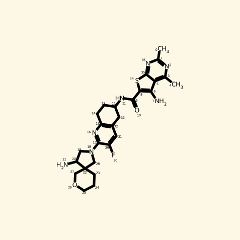 Cc1nc(C)c2c(N)c(C(=O)NC3CCc4nc(N5CC(N)C6(CCCOC6)C5)c(F)cc4C3)sc2n1